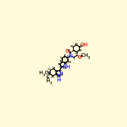 COCCN(c1ccc2cc(-c3n[nH]c4c3CCC(C)(C)C4)[nH]c2c1)C(=O)[C@H]1CC[C@@H](O)CC1